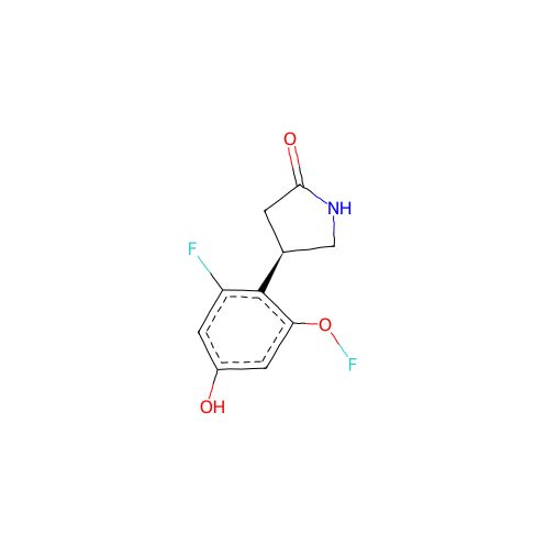 O=C1C[C@H](c2c(F)cc(O)cc2OF)CN1